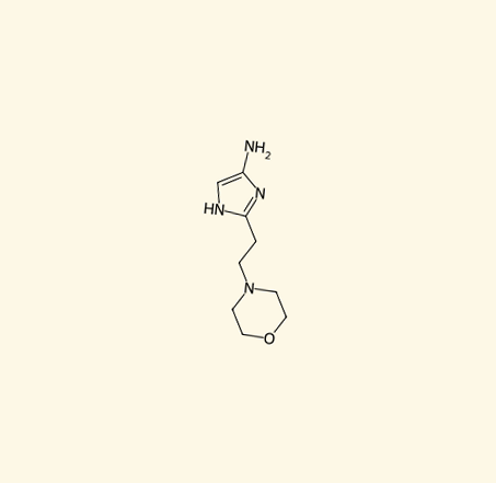 Nc1c[nH]c(CCN2CCOCC2)n1